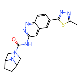 Cc1nnc(-c2ccc3nnc(NC(=O)N4CC5CCC(C4)N5C)cc3c2)s1